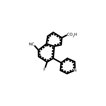 N#Cc1cc(F)c(-c2ccncc2)c2cc(C(=O)O)ccc12